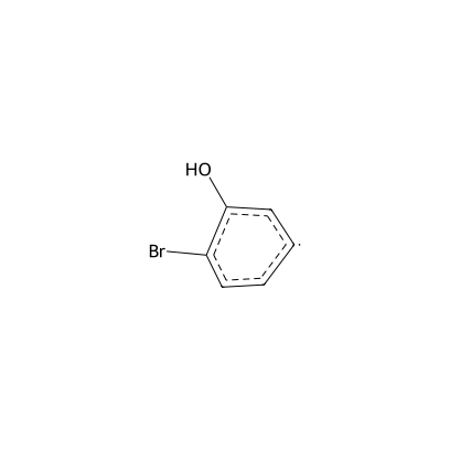 Oc1c[c]ccc1Br